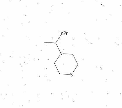 CCCC(C)N1CCSCC1